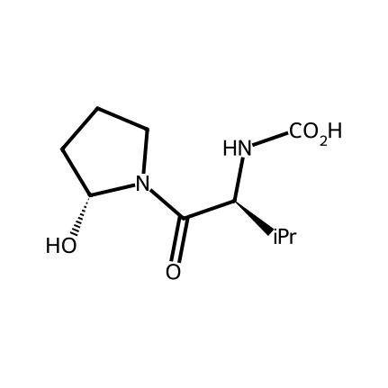 CC(C)[C@H](NC(=O)O)C(=O)N1CCC[C@H]1O